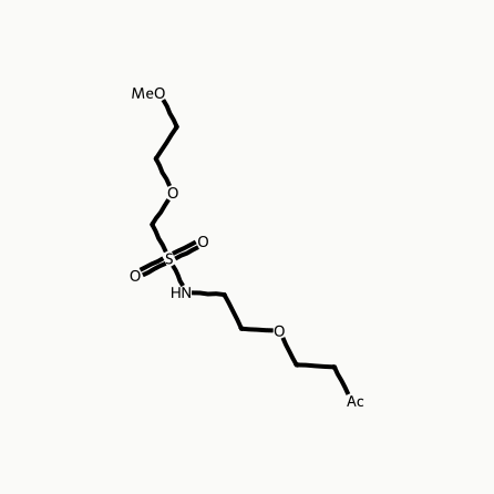 COCCOCS(=O)(=O)NCCOCCC(C)=O